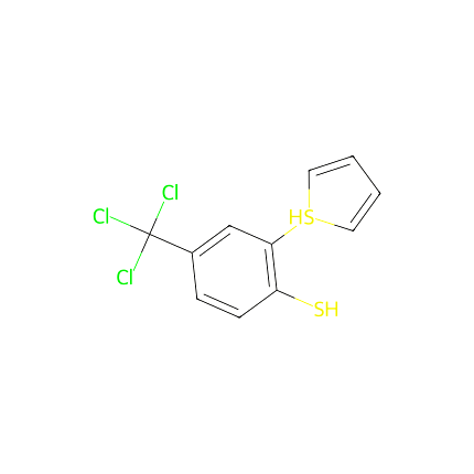 Sc1ccc(C(Cl)(Cl)Cl)cc1[SH]1C=CC=C1